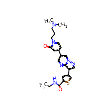 CN(C)CCCn1ccc(-c2cnc3c(-c4csc(C(=O)NCC(F)(F)F)c4)cnn3c2)cc1=O